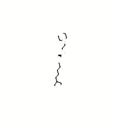 Cl.S=C(NCCN1CCOCC1)OCCCCCC1CSSC1